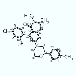 Cc1ccc(C2CC(c3cc4nc(C)n(C)c(=O)c4c(-c4ccc(Cl)cc4F)n3)CCO2)cn1